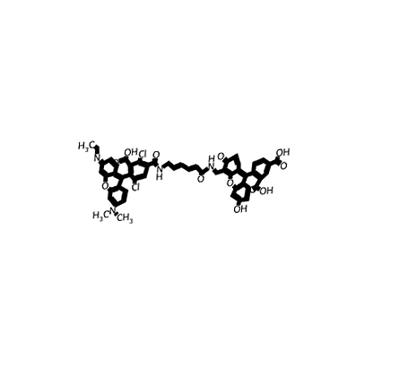 CC/N=c1\ccc2c(-c3c(Cl)cc(C(=O)NC/C=C/C=C/C(=O)NCc4c5oc6cc(O)ccc6c(-c6ccc(C(=O)O)cc6C(=O)O)c-5ccc4=O)c(Cl)c3C(=O)O)c3ccc(N(C)C)cc3oc-2c1